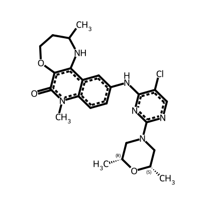 CC1CCOc2c(c3cc(Nc4nc(N5C[C@@H](C)O[C@@H](C)C5)ncc4Cl)ccc3n(C)c2=O)N1